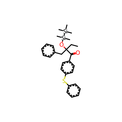 CCC(Cc1ccccc1)(O[Si](C)(C)[Si](C)(C)C)C(=O)c1ccc(Sc2ccccc2)cc1